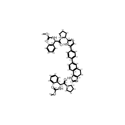 COC(=O)N[C@@H](C(=O)N1CCC[C@H]1c1ncc(-c2ccc(-c3ccc4c(c3)CCc3nc([C@@H]5CCCN5C(=O)[C@H](NC(=O)OC)c5ccccc5)[nH]c3-4)cc2)[nH]1)c1ccccc1